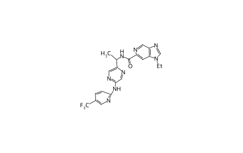 CCn1cnc2cnc(C(=O)NC(C)c3cnc(Nc4ccc(C(F)(F)F)cn4)cn3)cc21